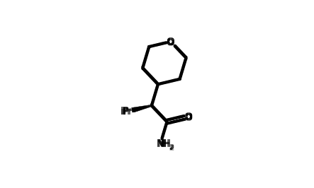 CC(C)[C@H](C(N)=O)C1CCOCC1